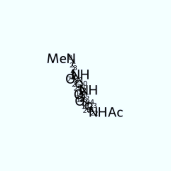 CNCCCCNC(=O)c1ccc(NC(=O)CC(=O)c2ccc(NC(C)=O)cc2)cc1